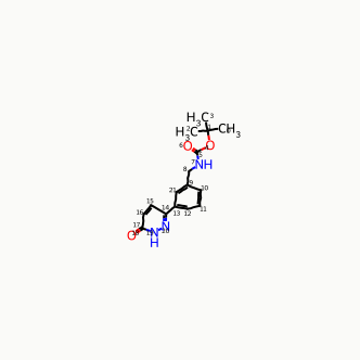 CC(C)(C)OC(=O)NCc1cccc(-c2ccc(=O)[nH]n2)c1